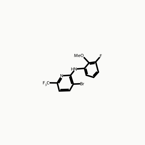 COc1c(F)cccc1Nc1nc(C(F)(F)F)ccc1Br